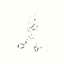 CCNC(=O)Nc1ncnc2c1ncn2C1OC(COCc2c(F)cccc2C(=O)O)C2O[C@H](/C=C/c3ccccc3)OC21